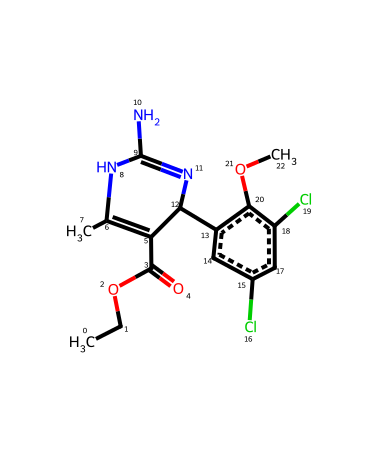 CCOC(=O)C1=C(C)NC(N)=NC1c1cc(Cl)cc(Cl)c1OC